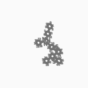 c1ccc(-c2ccc(-c3nc(-c4ccccc4)nc(-c4ccc5c(c4)sc4cccc(-c6ccc(-c7ccccc7)c7sc8ccccc8c67)c45)n3)cc2)cc1